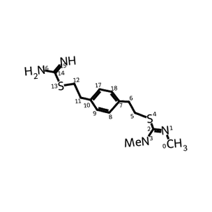 C/N=C(\NC)SCCc1ccc(CCSC(=N)N)cc1